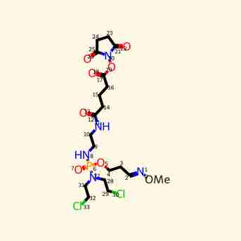 CO/N=C/CCOP(=O)(NCCNC(=O)CCCC(=O)ON1C(=O)CCC1=O)N(CCCl)CCCl